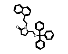 O=C1CCC(COC(c2ccccc2)(c2ccccc2)c2ccccc2)N1CCc1cccc2ccccc12